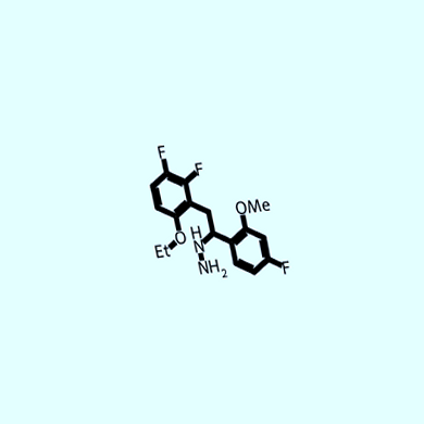 CCOc1ccc(F)c(F)c1CC(NN)c1ccc(F)cc1OC